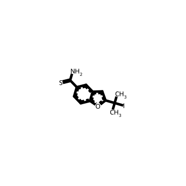 CC(C)(I)c1cc2cc(C(N)=S)ccc2o1